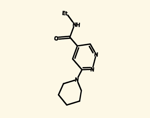 CCNC(=O)c1cnnc(N2CCCCC2)c1